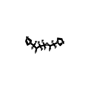 FC(OC(F)(F)C(F)(F)C(F)C(F)(F)n1ccnc1)C(F)(F)n1ccnc1